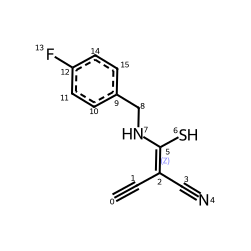 C#C/C(C#N)=C(/S)NCc1ccc(F)cc1